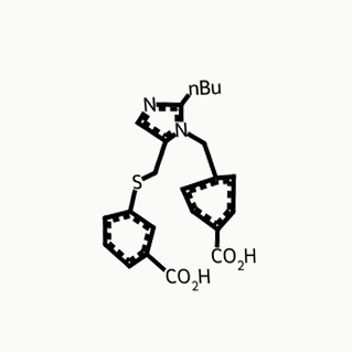 CCCCc1ncc(CSc2cccc(C(=O)O)c2)n1Cc1ccc(C(=O)O)cc1